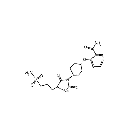 NC(=O)c1cccnc1O[C@H]1CC[C@H](N2C(=O)NC(CCCS(N)(=O)=O)C2=O)CC1